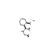 CCN(CC)c1nc2c(c3c1CCCC3)C(C)CC(=O)N2